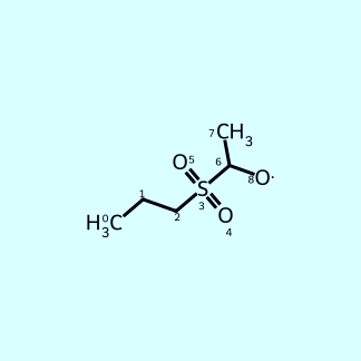 CCCS(=O)(=O)C(C)[O]